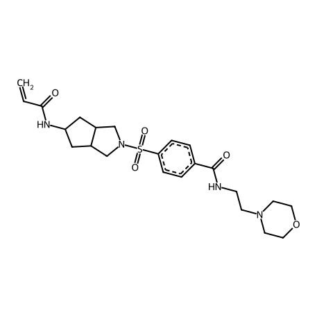 C=CC(=O)NC1CC2CN(S(=O)(=O)c3ccc(C(=O)NCCN4CCOCC4)cc3)CC2C1